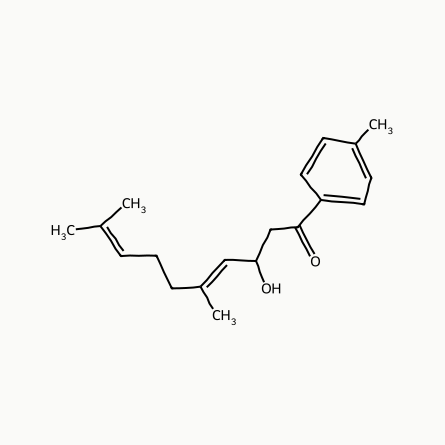 CC(C)=CCC/C(C)=C/C(O)CC(=O)c1ccc(C)cc1